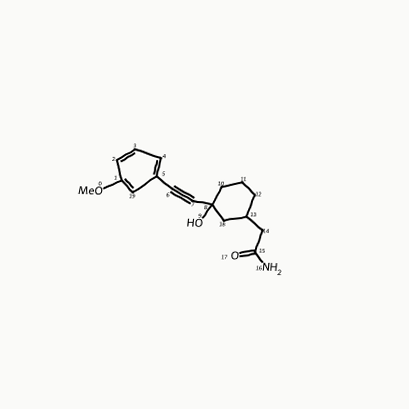 COc1cccc(C#CC2(O)CCCC(CC(N)=O)C2)c1